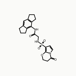 O=C(CNS(=O)(=O)c1ccn2c1OCCC2=O)Nc1c2c(cc3c1CCC3)CCC2